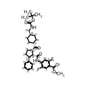 COC(=O)c1cc(F)c(NC(=O)[C@@H]2[C@@H](c3ccccc3)CCN2C(=O)[C@H]2CC[C@H](CNC(=O)OC(C)(C)C)CC2)cc1F